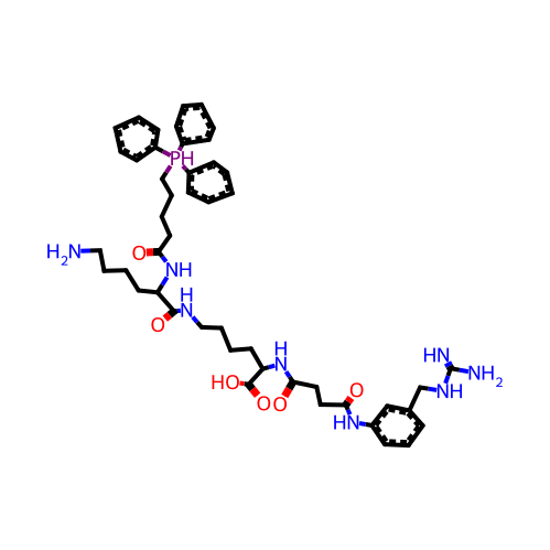 N=C(N)NCc1cccc(NC(=O)CCC(=O)NC(CCCCNC(=O)C(CCCCN)NC(=O)CCCC[PH](c2ccccc2)(c2ccccc2)c2ccccc2)C(=O)O)c1